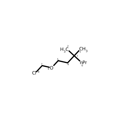 CCCC(C)(C)CCOCCl